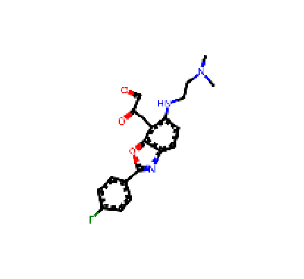 CN(C)CCNc1ccc2nc(-c3ccc(F)cc3)oc2c1C(=O)C=O